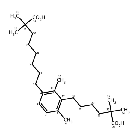 Cc1ccc(CCCCCCC(C)(C)C(=O)O)c(C)c1CCCCC(C)(C)C(=O)O